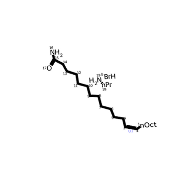 Br.CCCCCCCC/C=C\CCCCCCCCCCCC(N)=O.CCCN